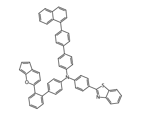 c1cc2ccc(-c3ccccc3-c3ccc(N(c4ccc(-c5ccc(-c6cccc7ccccc67)cc5)cc4)c4ccc(-c5nc6ccccc6s5)cc4)cc3)oc-2c1